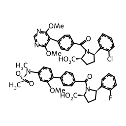 COc1cc(N(C)S(C)(=O)=O)ccc1-c1ccc(C(=O)N2[C@@H](c3ccccc3F)CC[C@H]2C(=O)O)cc1.COc1ncnc(OC)c1-c1ccc(C(=O)N2[C@@H](c3ccccc3Cl)CC[C@H]2C(=O)O)cc1